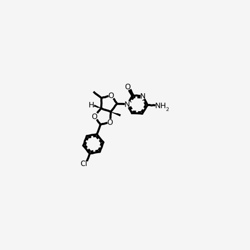 CC1OC(n2ccc(N)nc2=O)[C@]2(C)OC(c3ccc(Cl)cc3)O[C@H]12